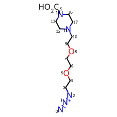 [N-]=[N+]=NCCOCCOCCN1CCN(C(=O)O)CC1